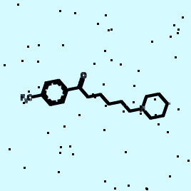 O=C(CCCCCN1CC[CH]CC1)c1ccc(C(F)(F)F)cc1